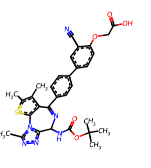 Cc1sc2c(c1C)C(c1ccc(-c3ccc(OCC(=O)O)c(C#N)c3)cc1)=NC(NC(=O)OC(C)(C)C)c1nnc(C)n1-2